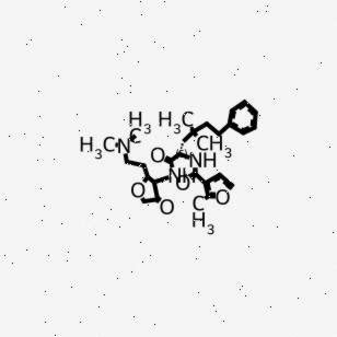 Cc1occc1C(=O)N[C@@H](CC(C)(C)CCc1ccccc1)C(=O)NC1C(=O)COC1CCN(C)C